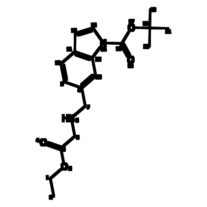 CCOC(=O)CNCc1ccc2ccn(C(=O)OC(C)(C)C)c2c1